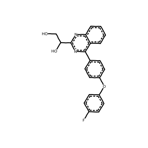 OCC(O)c1nc(-c2ccc(Oc3ccc(F)cc3)cc2)c2ccccc2n1